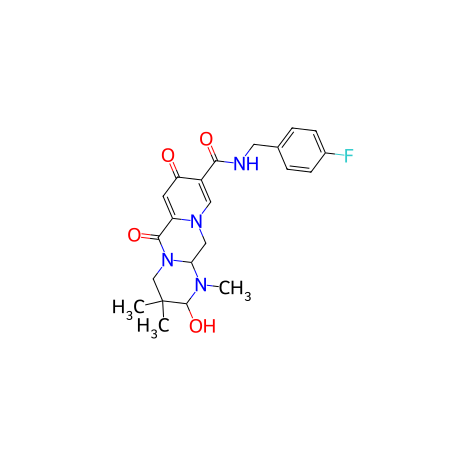 CN1C2Cn3cc(C(=O)NCc4ccc(F)cc4)c(=O)cc3C(=O)N2CC(C)(C)C1O